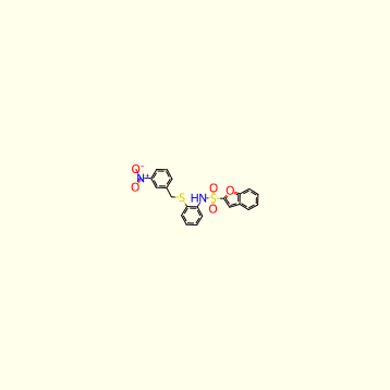 O=[N+]([O-])c1cccc(CSc2ccccc2NS(=O)(=O)c2cc3ccccc3o2)c1